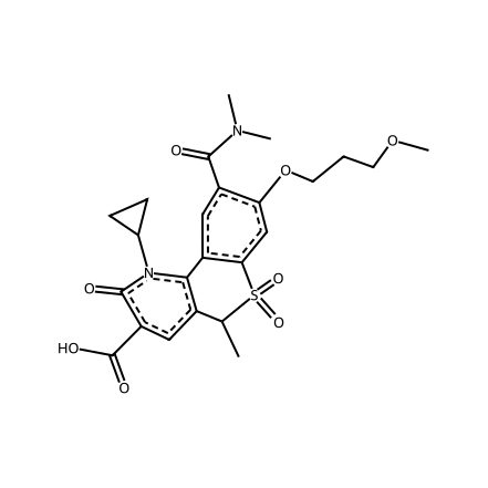 COCCCOc1cc2c(cc1C(=O)N(C)C)-c1c(cc(C(=O)O)c(=O)n1C1CC1)C(C)S2(=O)=O